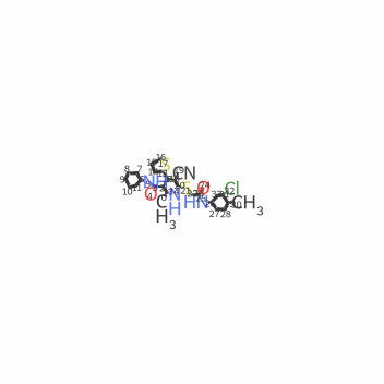 CC1=C(C(=O)Nc2ccccc2)C(c2cccs2)C(C#N)=C(SCC(=O)Nc2ccc(C)c(Cl)c2)N1